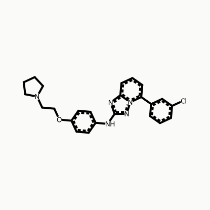 Clc1cccc(-c2cccc3nc(Nc4ccc(OCCN5CCCC5)cc4)nn23)c1